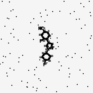 N#Cc1ccc(-c2cnn(-c3ccc(F)cc3)c2)c(F)c1